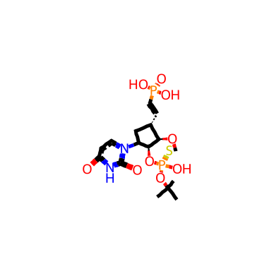 CO[C@@H]1[C@@H](/C=C/P(=O)(O)O)CC(n2ccc(=O)[nH]c2=O)[C@@H]1OP(O)(=S)OC(C)(C)C